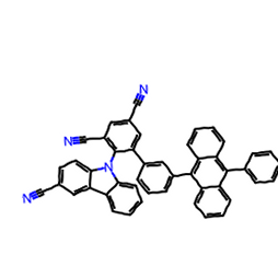 N#Cc1cc(C#N)c(-n2c3ccccc3c3cc(C#N)ccc32)c(-c2cccc(-c3c4ccccc4c(-c4ccccc4)c4ccccc34)c2)c1